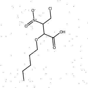 CCCCCOC(C(=O)O)C(CCl)[N+](=O)[O-]